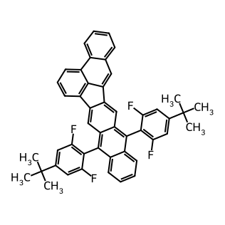 CC(C)(C)c1cc(F)c(-c2c3ccccc3c(-c3c(F)cc(C(C)(C)C)cc3F)c3cc4c(cc23)-c2cccc3c2c-4cc2ccccc23)c(F)c1